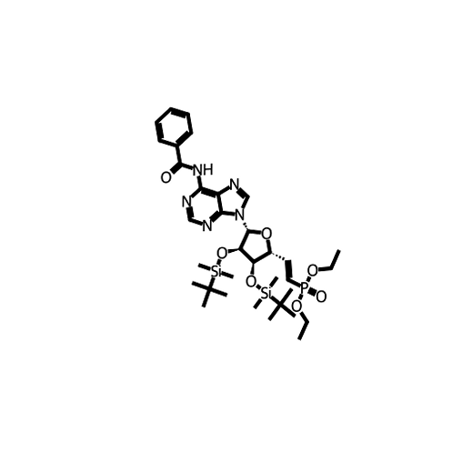 CCOP(=O)(/C=C/[C@H]1O[C@@H](n2cnc3c(NC(=O)c4ccccc4)ncnc32)[C@H](O[Si](C)(C)C(C)(C)C)[C@@H]1O[Si](C)(C)C(C)(C)C)OCC